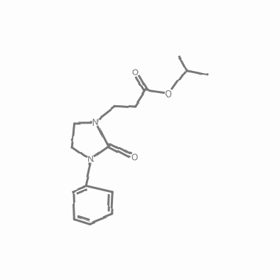 CC(C)OC(=O)CCN1CCN(c2ccccc2)C1=O